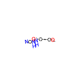 CCOc1ccc(C#Cc2ccc(C(C)NC(=O)Nc3ccc(N(C)C)cc3)cc2)cc1